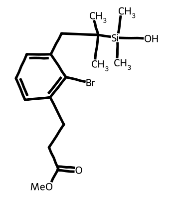 COC(=O)CCc1cccc(CC(C)(C)[Si](C)(C)O)c1Br